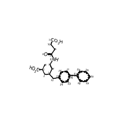 CC(CC(CCNC(=O)CCC(=O)O)Cc1ccc(-c2ccccc2)cc1)C(=O)O